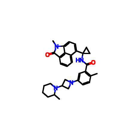 Cc1ccc(N2CC(N3CCCCC3C)C2)cc1C(=O)NC1(c2ccc3c4c(cccc24)C(=O)N3C)CC1